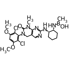 COc1cc(OC)c(Cl)c(N2Cc3cnc(N[C@@H]4CCCC[C@@H]4NB(C)O)nc3N(C)C2=O)c1Cl